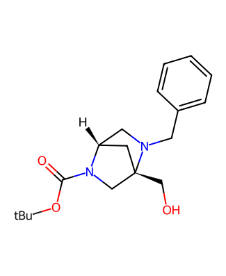 CC(C)(C)OC(=O)N1C[C@]2(CO)C[C@H]1CN2Cc1ccccc1